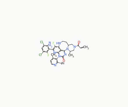 C=CC(=O)N1CC(C)N2c3nc(=O)n(-c4c(C)ccnc4C(C)C)c4nc(-c5c(N)c(Cl)cc(Cl)c5F)c(F)c(c34)NCCC2C1